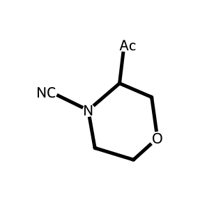 CC(=O)C1COCCN1C#N